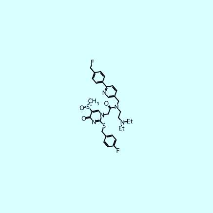 CCN(CC)CCN(Cc1ccc(-c2ccc(CF)cc2)nc1)C(=O)Cn1cc([S+](C)[O-])c(=O)nc1SCc1ccc(F)cc1